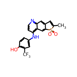 CC1=Cc2cc3nccc(Nc4ccc(O)c(C(F)(F)F)c4)c3cc2S1(=O)=O